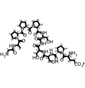 CC(NC(=O)CN)C(=O)N1CCC[C@H]1C(=O)N1CCC[C@H]1C(=O)N1CCC[C@H]1C(=O)NC(CO)C(=O)NC(=O)C(CO)NC(=O)C(CO)NC(=O)[C@@H]1CCCN1C(=O)C(N)CCC(=O)O